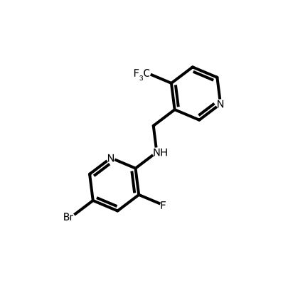 Fc1cc(Br)cnc1NCc1cnccc1C(F)(F)F